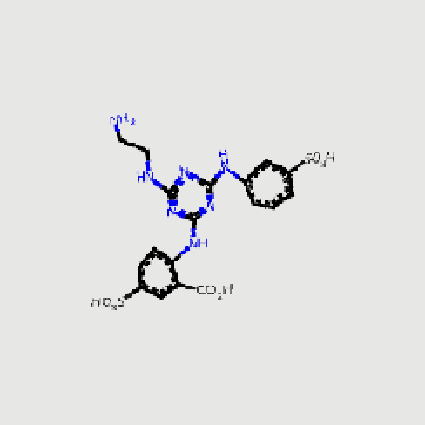 NCCNc1nc(Nc2cccc(S(=O)(=O)O)c2)nc(Nc2ccc(S(=O)(=O)O)cc2C(=O)O)n1